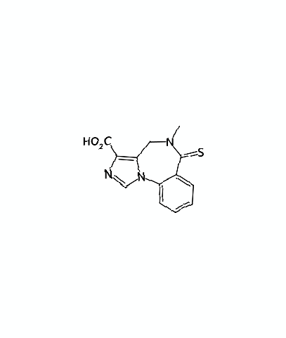 CN1Cc2c(C(=O)O)ncn2-c2ccccc2C1=S